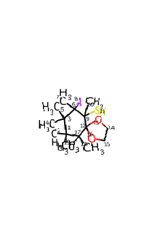 CC1(C)C(C)(C)C(C)(I)C(C)(S)C2(OCCO2)C1(C)C